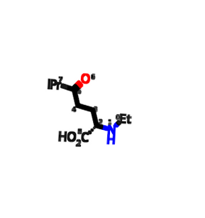 CCN[C@@H](CCC(=O)C(C)C)C(=O)O